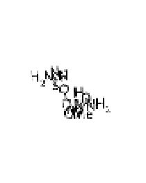 COc1ccc(-c2ccc3c(c2)sc2c(N)ncnc23)cc1C(=O)NCC(N)=O